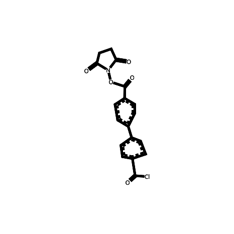 O=C(Cl)c1ccc(-c2ccc(C(=O)ON3C(=O)CCC3=O)cc2)cc1